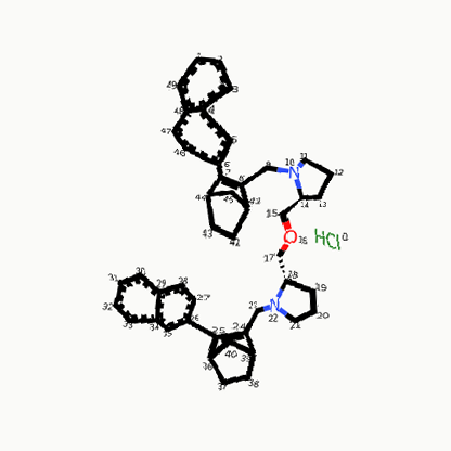 Cl.c1ccc2cc(C3=C(CN4CCC[C@H]4COC[C@@H]4CCCN4CC4=C(c5ccc6ccccc6c5)C5CCC4C5)C4CCC3C4)ccc2c1